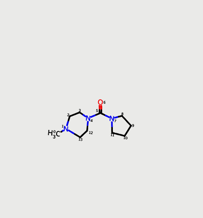 CN1CCN(C(=O)N2CCCC2)CC1